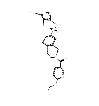 Cc1c(NS(=O)(=O)c2ccc3c(c2)CN(C(=O)c2ccc(OCC(F)(F)F)nc2)CC3)noc1C(C)(C)C